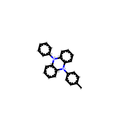 Cc1ccc(N2c3ccccc3N(c3ccccc3)c3ccccc32)cc1